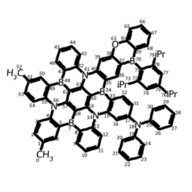 Cc1ccc2c(c1)B1c3ccccc3N3c4cc(N(c5ccccc5)c5ccccc5)ccc4B4c5cc6c(cc5N5c7ccccc7B7c8cc(C)ccc8N2c2c1c3c4c5c27)Oc1ccccc1B6c1c(C(C)C)cc(C(C)C)cc1C(C)C